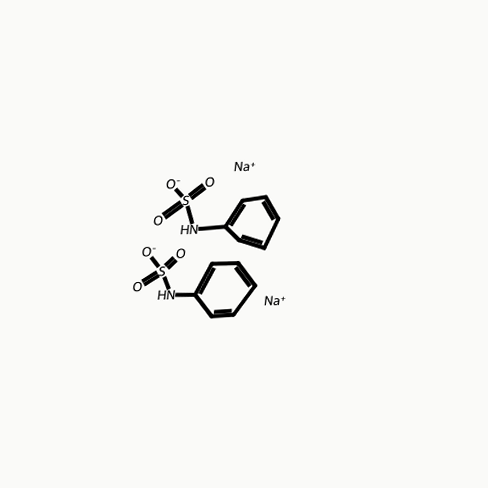 O=S(=O)([O-])Nc1ccccc1.O=S(=O)([O-])Nc1ccccc1.[Na+].[Na+]